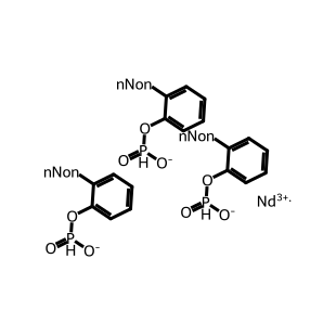 CCCCCCCCCc1ccccc1O[PH](=O)[O-].CCCCCCCCCc1ccccc1O[PH](=O)[O-].CCCCCCCCCc1ccccc1O[PH](=O)[O-].[Nd+3]